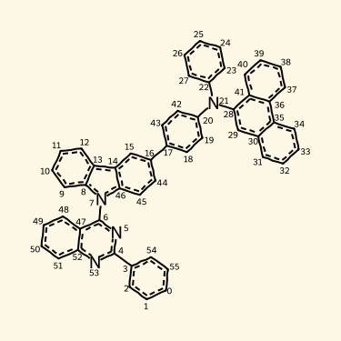 c1ccc(-c2nc(-n3c4ccccc4c4cc(-c5ccc(N(c6ccccc6)c6cc7ccccc7c7ccccc67)cc5)ccc43)c3ccccc3n2)cc1